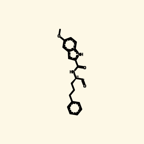 COc1ccc2[nH]c(C(=O)N[C@@H]([C]=O)CCCc3ccccc3)cc2c1